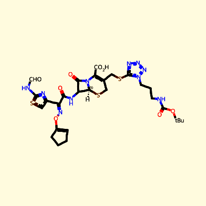 CC(C)(C)OC(=O)NCCCn1nnnc1SCC1=C(C(=O)O)N2C(=O)C(NC(=O)C(=NOC3=CCCC3)c3csc(NC=O)n3)[C@@H]2SC1